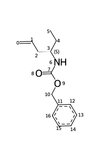 C=CC[C@H](CC)NC(=O)OCc1ccccc1